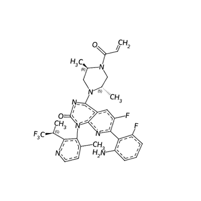 C=CC(=O)N1C[C@H](C)N(c2nc(=O)n(-c3c(C)ccnc3[C@H](C)C(F)(F)F)c3nc(-c4c(N)cccc4F)c(F)cc23)C[C@H]1C